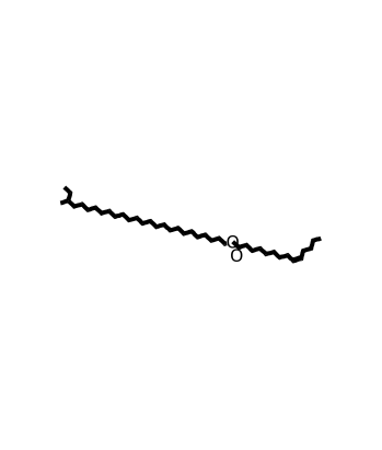 CCCC/C=C\CCCCCCCC(=O)OCCCCCCCCCCCCCCCCCCCCCCCC(C)CC